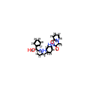 CC(C(=O)Nc1ccc(C[C@@H]2CC[C@H]([C@H](O)c3ccccc3)N2)cc1)n1ccccc1=O